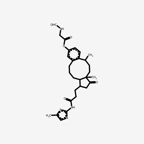 Cc1cnc(NC(=O)CCC2CC(=O)C3(C)CCC(C)c4ccc(OC(=O)CNC=O)cc4CCCC23)s1